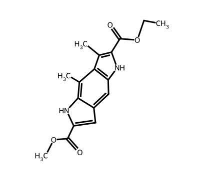 CCOC(=O)c1[nH]c2cc3cc(C(=O)OC)[nH]c3c(C)c2c1C